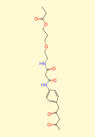 CCC(=O)OCCCOCCNC(=O)CC(=O)Nc1ccc(CC(=O)CC(C)=O)cc1